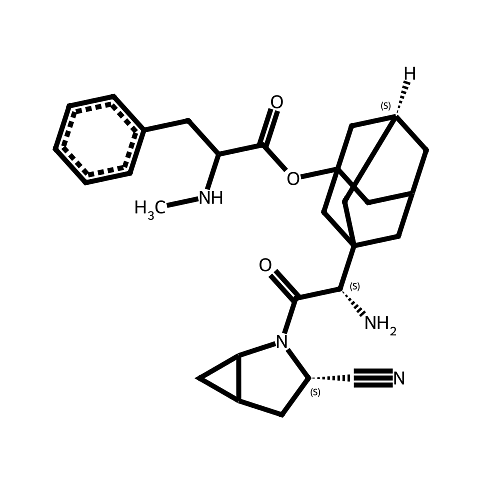 CNC(Cc1ccccc1)C(=O)OC12CC3C[C@H](C1)CC([C@H](N)C(=O)N1C4CC4C[C@H]1C#N)(C3)C2